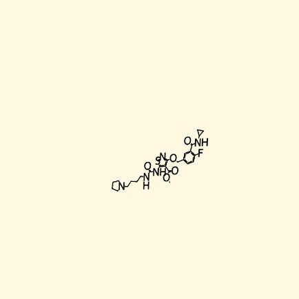 COC(=O)c1c(OCc2ccc(F)c(C(=O)NC3CC3)c2)nsc1NC(=O)NCCCCN1CCCC1